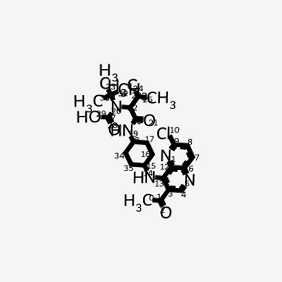 CC(=O)c1cnc2ccc(Cl)nc2c1NC1CCC(NC(=O)C(C(C)C)N(C(=O)O)C(C)(C)C)CC1